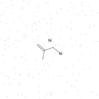 C=C(C)[CH2][Ni].[Ni]